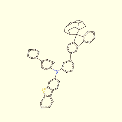 c1ccc(-c2ccc(N(c3cccc(-c4ccc5c(c4)-c4ccccc4C54C5CCC46CC4CC(CC46)C5)c3)c3ccc4c(c3)sc3ccccc34)cc2)cc1